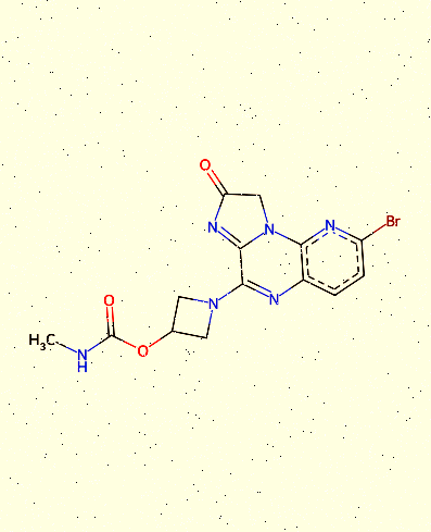 CNC(=O)OC1CN(C2=Nc3ccc(Br)nc3N3CC(=O)N=C23)C1